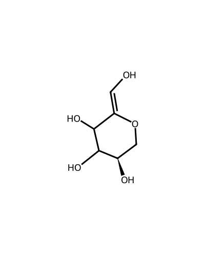 OC=C1OC[C@@H](O)C(O)C1O